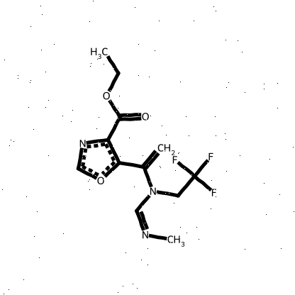 C=C(c1ocnc1C(=O)OCC)N(/C=N\C)CC(F)(F)F